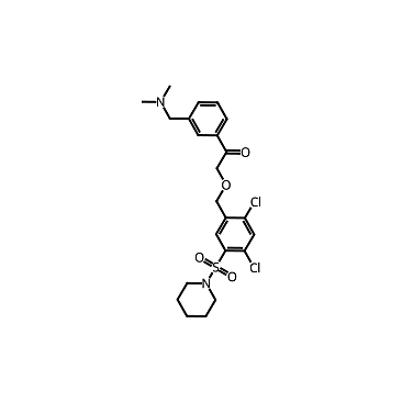 CN(C)Cc1cccc(C(=O)COCc2cc(S(=O)(=O)N3CCCCC3)c(Cl)cc2Cl)c1